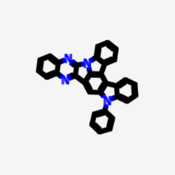 c1ccc(-n2c3ccccc3c3c4c5ccccc5n5c6nc7ccccc7nc6c(cc32)c45)cc1